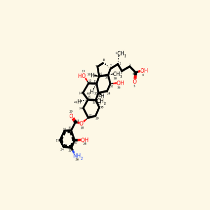 C[C@H](CCC(=O)O)[C@H]1CC[C@H]2[C@@H]3[C@H](O)C[C@@H]4C[C@H](OC(=O)c5cccc(N)c5O)CC[C@]4(C)[C@H]3C[C@H](O)[C@]12C